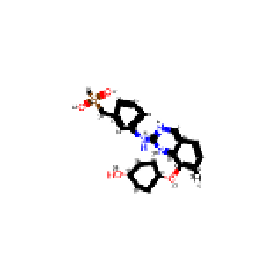 [2H]c1ccc2cnc(Nc3cccc(CS(C)(=O)=O)c3)nc2c1O[C@H]1CC[C@@H](O)CC1